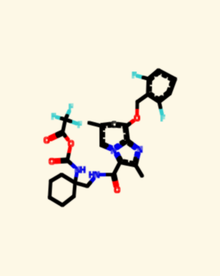 Cc1cc(OCc2c(F)cccc2F)c2nc(C)c(C(=O)NCC3(NC(=O)OC(=O)C(F)(F)F)CCCCC3)n2c1